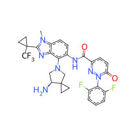 Cn1c(C2(C(F)(F)F)CC2)nc2c(N3C[C@H](N)C4(CC4)C3)c(NC(=O)c3ccc(=O)n(-c4c(F)cccc4F)n3)ccc21